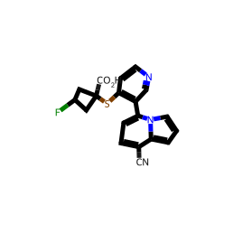 N#Cc1ccc(-c2cnccc2SC2(C(=O)O)CC(F)C2)n2cccc12